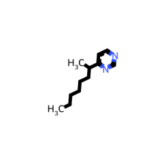 CCCCCCC(C)c1ccncn1